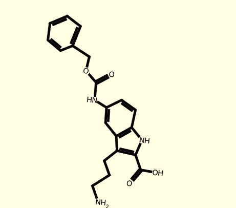 NCCCc1c(C(=O)O)[nH]c2ccc(NC(=O)OCc3ccccc3)cc12